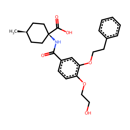 C[C@H]1CC[C@](NC(=O)c2ccc(OCCO)c(OCCc3ccccc3)c2)(C(=O)O)CC1